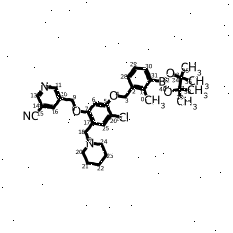 Cc1c(COc2cc(OCc3cncc(C#N)c3)c(CN3CCCCC3)cc2Cl)cccc1B1OC(C)(C)C(C)(C)O1